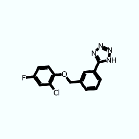 Fc1ccc(OCc2cccc(-c3nnn[nH]3)c2)c(Cl)c1